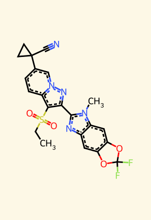 CCS(=O)(=O)c1c(-c2nc3cc4c(cc3n2C)OC(F)(F)O4)nn2cc(C3(C#N)CC3)ccc12